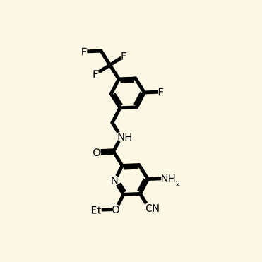 CCOc1nc(C(=O)NCc2cc(F)cc(C(F)(F)CF)c2)cc(N)c1C#N